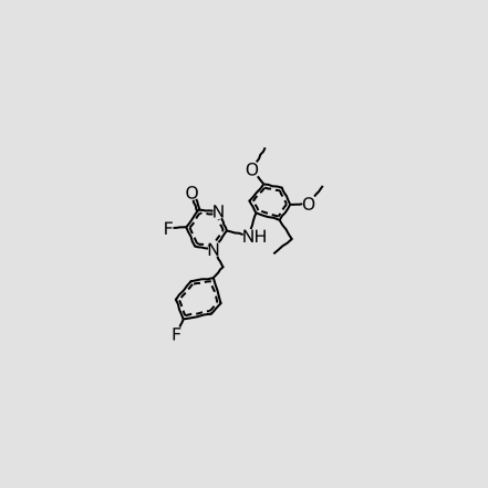 CCc1c(Nc2nc(=O)c(F)cn2Cc2ccc(F)cc2)cc(OC)cc1OC